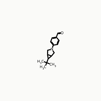 CC(C)(C)C1C2CN(c3ccc(C=O)cc3)CC21